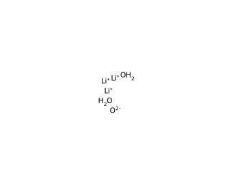 O.O.[Li+].[Li+].[Li+].[O-2]